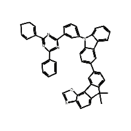 CC1(C)c2ccc(-c3ccc4c(c3)c3ccccc3n4-c3cccc(-c4nc(C5=CCCC=C5)nc(-c5ccccc5)n4)c3)cc2-c2c1ccc1ncoc21